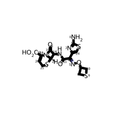 Nc1nc(/C(=N\OC2CSC2)C(=O)NC2C(=O)N3C(C(=O)O)=CCS[C@H]23)cs1